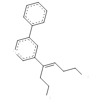 CCCC=C(CCC)c1cncc(-c2ccccc2)c1